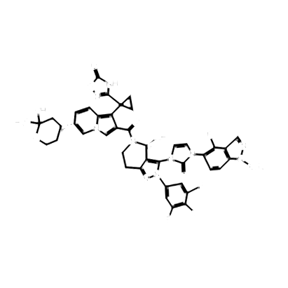 C[C@H]1c2c(nn(-c3cc(F)c(F)c(F)c3)c2-n2ccn(-c3ccc4c(cnn4C)c3F)c2=O)CCN1C(=O)c1cn2cc([C@@H]3CCOC(C)(C)C3)ccc2c1C1(c2noc(=O)[nH]2)CC1